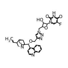 C=CC1C[N@@]2CCC1CC2[C@H](OCc1cn(CC2OC(n3cc(F)c(=O)[nH]c3=O)C2O)nn1)c1ccnc2ccccc12